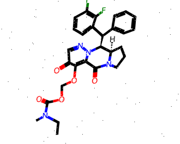 CCN(C)C(=O)OCOc1c2n(ncc1=O)[C@@H](C(c1ccccc1)c1cccc(F)c1F)[C@H]1CCCN1C2=O